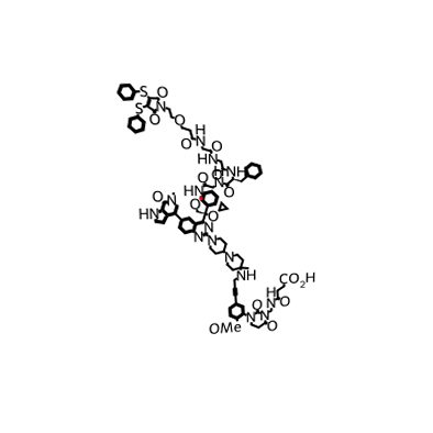 COc1ccc(C#CCNC2(C)CCN(C3CCN(c4nc([C@@](COCNC(=O)CNC(=O)[C@H](Cc5ccccc5)NC(=O)CNC(=O)CNC(=O)CCOCCN5C(=O)C(Sc6ccccc6)=C(Sc6ccccc6)C5=O)(OC5CC5)c5ccccc5)c5cc(-c6cn(C)c(=O)c7[nH]ccc67)ccc5n4)CC3)CC2)cc1N1CCC(=O)N(CNC(=O)CCC(=O)O)C1=O